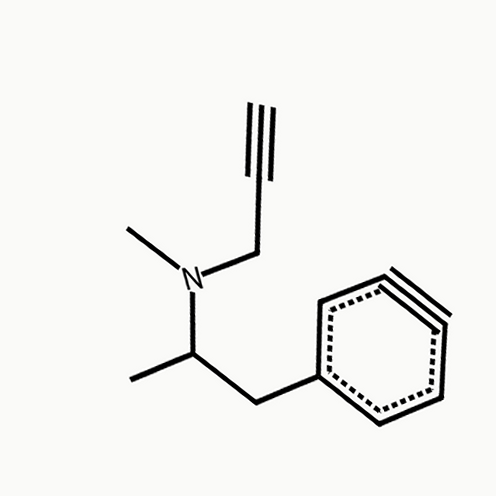 C#CCN(C)C(C)Cc1cc#ccc1